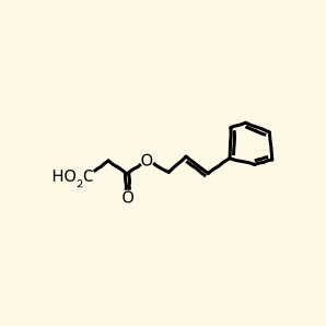 O=C(O)CC(=O)OCC=Cc1ccccc1